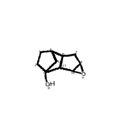 OC12CCC(C1)C1CC3OC3C12